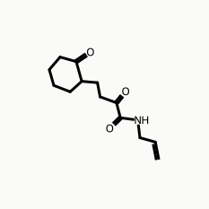 C=CCNC(=O)C(=O)CCC1CCCCC1=O